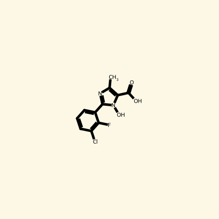 Cc1nc(-c2cccc(Cl)c2F)n(O)c1C(=O)O